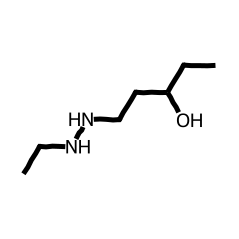 CCNNCCC(O)CC